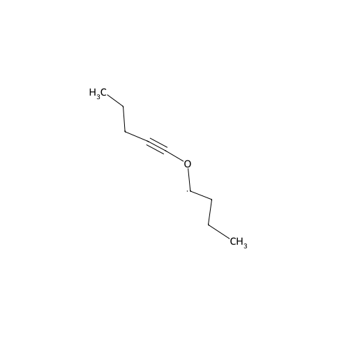 CCCC#CO[CH]CCC